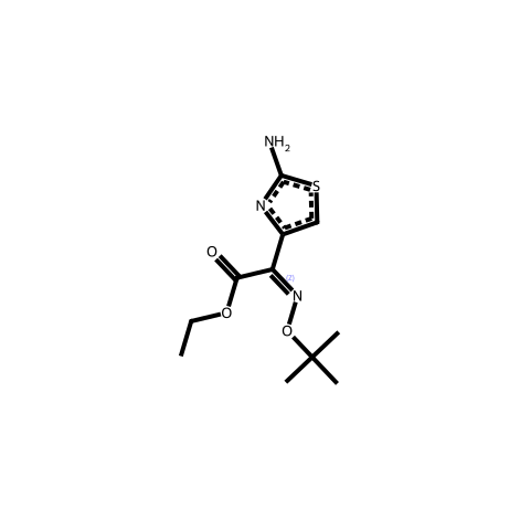 CCOC(=O)/C(=N\OC(C)(C)C)c1csc(N)n1